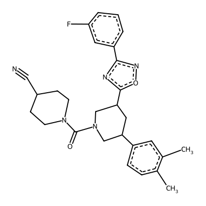 Cc1ccc(C2CC(c3nc(-c4cccc(F)c4)no3)CN(C(=O)N3CCC(C#N)CC3)C2)cc1C